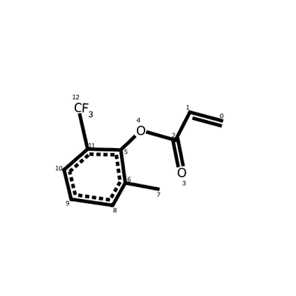 C=CC(=O)Oc1c(C)cccc1C(F)(F)F